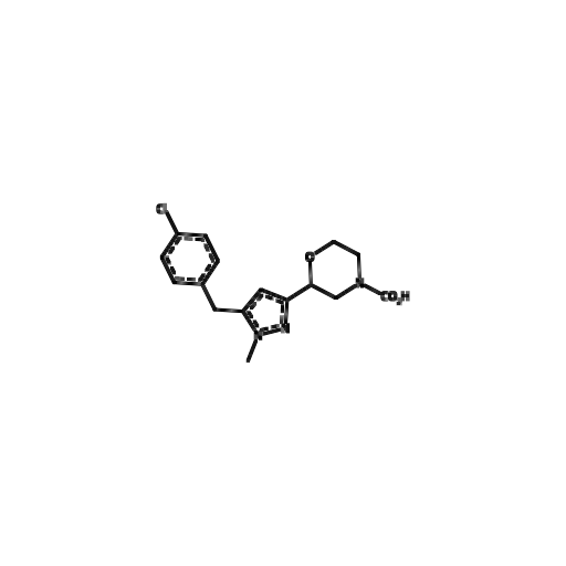 Cn1nc(C2CN(C(=O)O)CCO2)cc1Cc1ccc(Cl)cc1